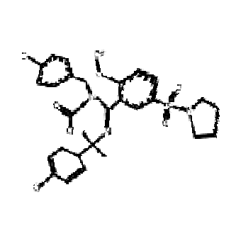 CCOc1ccc(S(=O)(=O)N2CCCC2)cc1/C(=N/C(C)(C)C1C=CC(Cl)=CC1)N(Cc1ccc(Cl)cc1)C(=O)Cl